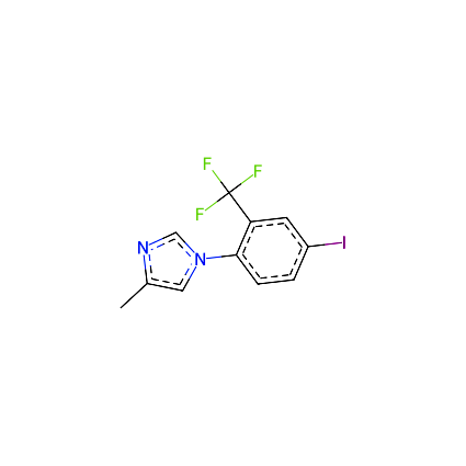 Cc1cn(-c2ccc(I)cc2C(F)(F)F)cn1